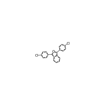 Clc1ccc(-c2oc(-c3ccc(Cl)cc3)c3ccccc23)cc1